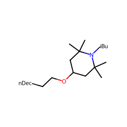 CCCCCCCCCCCCOC1CC(C)(C)N(C(C)CC)C(C)(C)C1